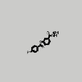 CC(C)c1ccc(-c2nc3ccc(C(=O)NO)cc3s2)cc1